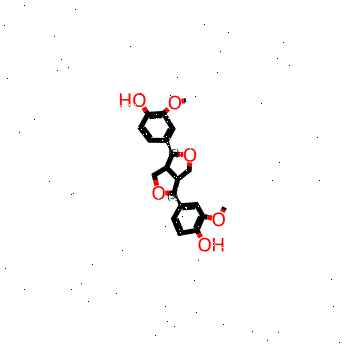 COc1cc([C@H]2OCC3C2CO[C@@H]3c2ccc(O)c(OC)c2)ccc1O